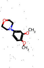 COc1c[c]c(N2CCOCC2)cc1OC